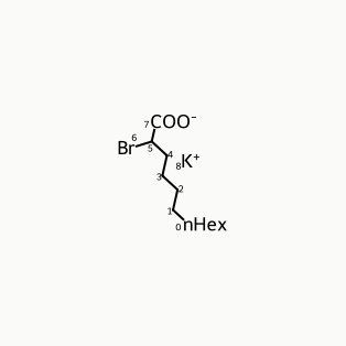 CCCCCCCCCCC(Br)C(=O)[O-].[K+]